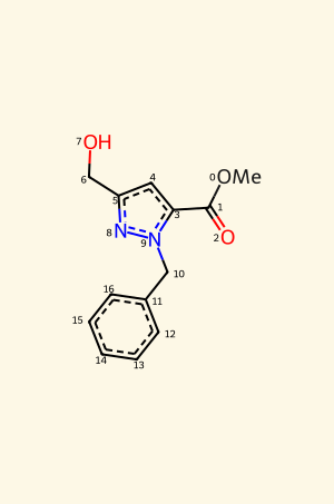 COC(=O)c1cc(CO)nn1Cc1ccccc1